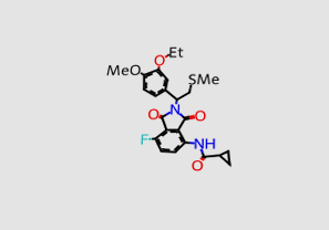 CCOc1cc(C(CSC)N2C(=O)c3c(F)ccc(NC(=O)C4CC4)c3C2=O)ccc1OC